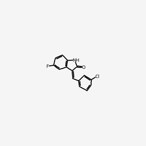 O=C1Nc2ccc(F)cc2C1=Cc1cccc(Cl)c1